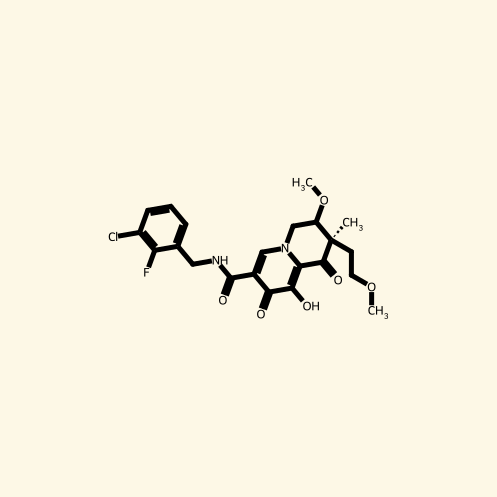 COCC[C@@]1(C)C(=O)c2c(O)c(=O)c(C(=O)NCc3cccc(Cl)c3F)cn2CC1OC